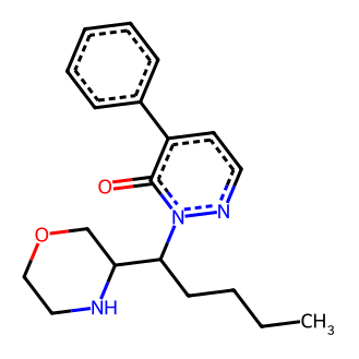 CCCCC(C1COCCN1)n1nccc(-c2ccccc2)c1=O